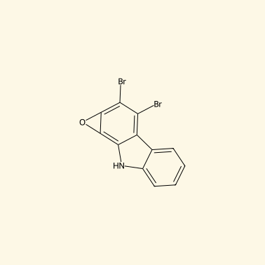 Brc1c2c(c3[nH]c4ccccc4c3c1Br)O2